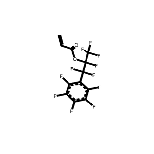 C=CC(=O)OC(F)(C(F)(F)F)C(F)(F)c1c(F)c(F)c(F)c(F)c1F